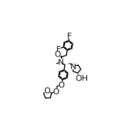 CN(C(=O)Cc1ccc(F)cc1F)[C@H](CN1CC[C@H](O)C1)c1ccc(OCOC2CCCO2)cc1